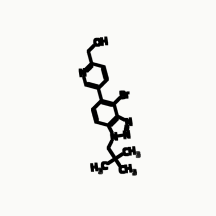 CC(C)(C)Cn1nnc2c(Br)c(-c3ccc(CO)nc3)ccc21